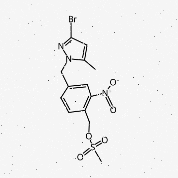 Cc1cc(Br)nn1Cc1ccc(COS(C)(=O)=O)c([N+](=O)[O-])c1